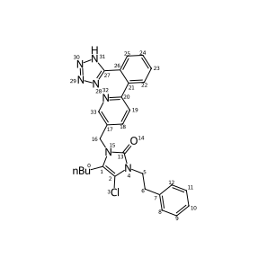 CCCCc1c(Cl)n(CCc2ccccc2)c(=O)n1Cc1ccc(-c2ccccc2-c2nnn[nH]2)nc1